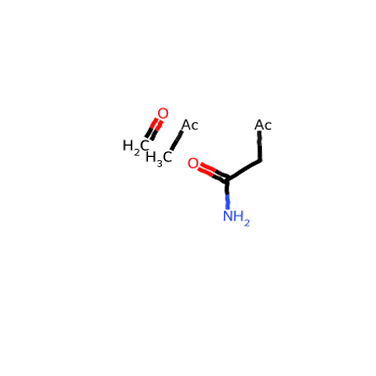 C=O.CC(=O)CC(N)=O.CC(C)=O